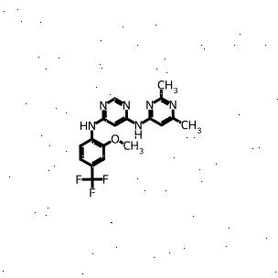 COc1cc(C(F)(F)F)ccc1Nc1cc(Nc2cc(C)nc(C)n2)ncn1